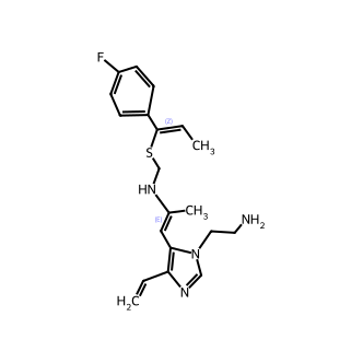 C=Cc1ncn(CCN)c1/C=C(\C)NCS/C(=C\C)c1ccc(F)cc1